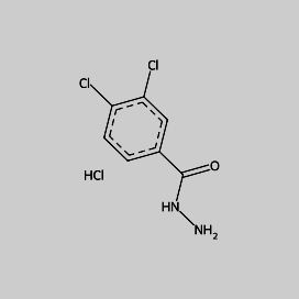 Cl.NNC(=O)c1ccc(Cl)c(Cl)c1